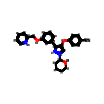 N#Cc1ccc(Oc2cn(C3CCCCO3)nc2-c2cccc(OCc3ccccn3)c2)cc1